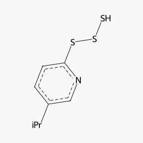 CC(C)c1ccc(SSS)nc1